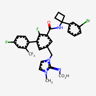 Cn1ccn(Cc2cc(C(=O)NC3(c4cccc(Br)c4)CCC3)c(F)c(-c3ccc(F)cc3C(F)(F)F)c2)c1=NC(=O)O